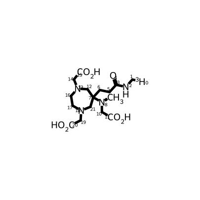 [3H]CNC(=O)CCC1(N(C)CC(=O)O)CN(CC(=O)O)CCN(CC(=O)O)C1